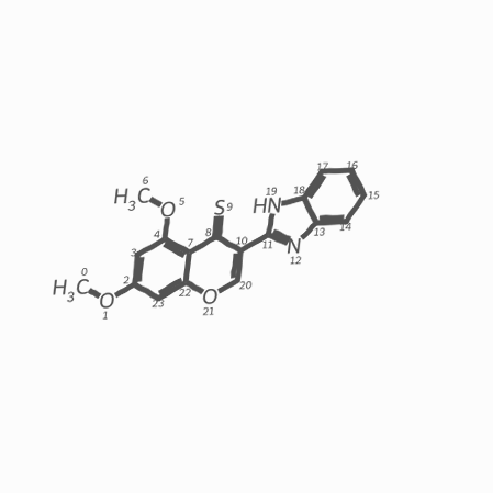 COc1cc(OC)c2c(=S)c(-c3nc4ccccc4[nH]3)coc2c1